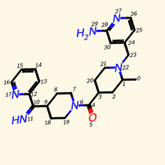 CC1CC(C(=O)N2CCC(C(=N)c3ccccn3)CC2)CCN1Cc1ccnc(N)c1